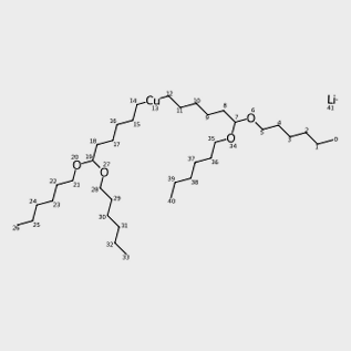 CCCCCCOC(CCCC[CH2][Cu][CH2]CCCCC(OCCCCCC)OCCCCCC)OCCCCCC.[Li]